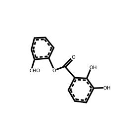 O=Cc1ccccc1OC(=O)c1cccc(O)c1O